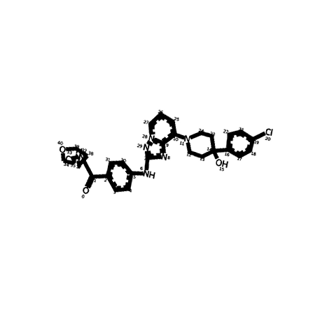 O=C(c1ccc(Nc2nc3c(N4CCC(O)(c5ccc(Cl)cc5)CC4)cccn3n2)cc1)N1CC2CNCC1CO2